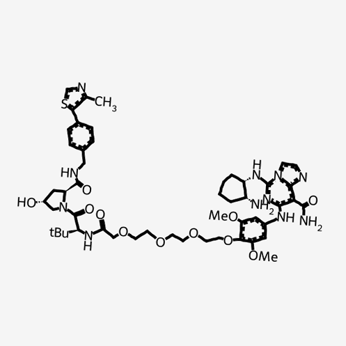 COc1cc(Nc2nc(N[C@H]3CCCC[C@H]3N)n3ccnc3c2C(N)=O)cc(OC)c1OCCOCCOCCOCC(=O)N[C@H](C(=O)N1C[C@H](O)C[C@H]1C(=O)NCc1ccc(-c2scnc2C)cc1)C(C)(C)C